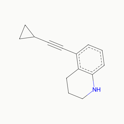 C(#CC1CC1)c1cccc2c1CCCN2